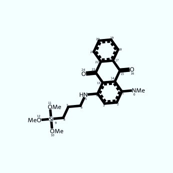 CNc1ccc(NCCC[Si](OC)(OC)OC)c2c1C(=O)c1ccccc1C2=O